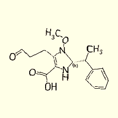 CON1C(CCC=O)=C(C(=O)O)N[C@H]1C(C)c1ccccc1